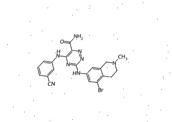 CN1CCc2c(Br)cc(Nc3nnc(C(N)=O)c(Nc4cccc(C#N)c4)n3)cc2C1